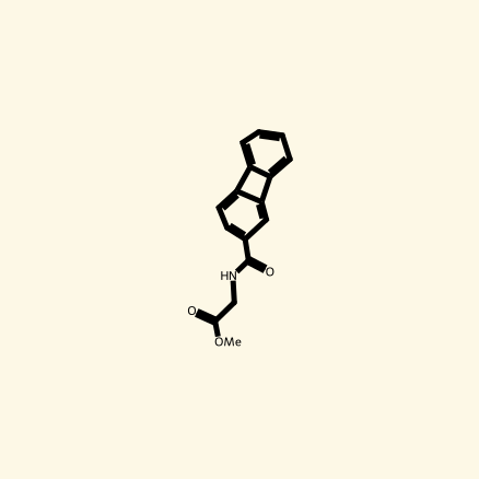 COC(=O)CNC(=O)c1ccc2c(c1)-c1ccccc1-2